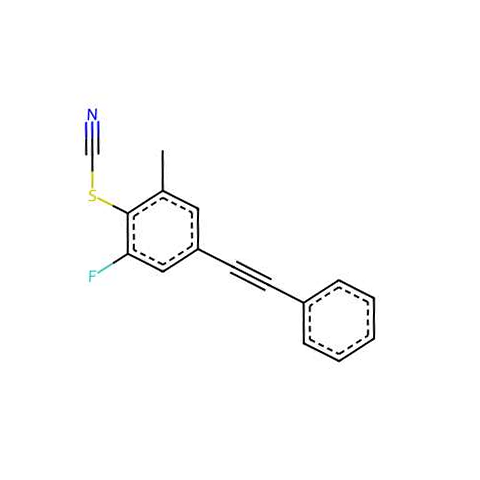 Cc1cc(C#Cc2ccccc2)cc(F)c1SC#N